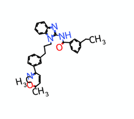 CCc1cccc(C(=O)Nc2nc3ccccc3n2CCCc2cccc(C(/C=C\C(C)=O)=N/C)c2)c1